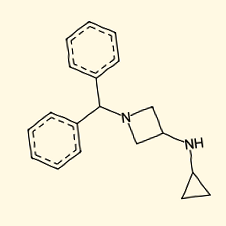 c1ccc(C(c2ccccc2)N2CC(NC3CC3)C2)cc1